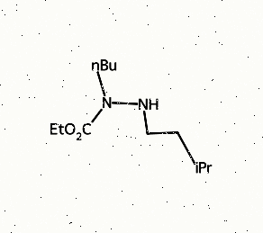 CCCCN(NCCC(C)C)C(=O)OCC